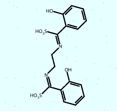 O=S(=O)(O)C(=NCCN=C(c1ccccc1O)S(=O)(=O)O)c1ccccc1O